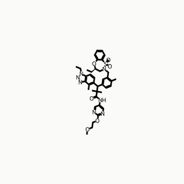 CC[C@@H]1CN(Cc2cc(C(c3ccc4c(nnn4CC)c3C)C(C)(C)C(=O)Nc3cnc(OCCOC)nc3)ccc2C)S(=O)(=O)c2ccccc2O1